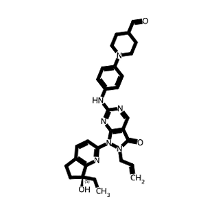 C=CCn1c(=O)c2cnc(Nc3ccc(N4CCC(C=O)CC4)cc3)nc2n1-c1ccc2c(n1)[C@](O)(CC)CC2